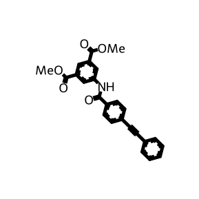 COC(=O)c1cc(NC(=O)c2ccc(C#Cc3ccccc3)cc2)cc(C(=O)OC)c1